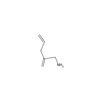 C=CCC(=C)CN